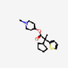 CN1CCC(OC(=O)C(C)(c2cccs2)C2CCCC2)CC1